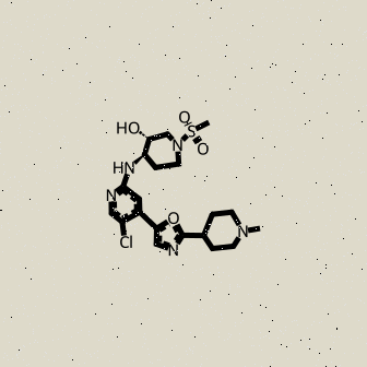 CN1CCC(c2ncc(-c3cc(N[C@@H]4CCN(S(C)(=O)=O)C[C@H]4O)ncc3Cl)o2)CC1